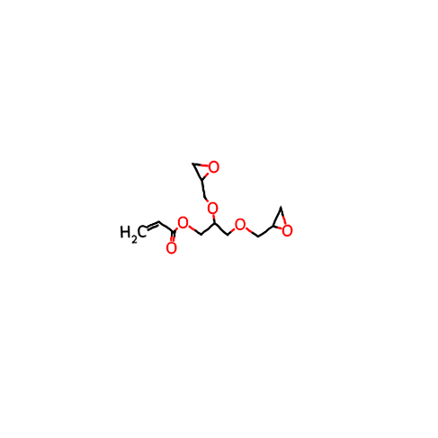 C=CC(=O)OCC(COCC1CO1)OCC1CO1